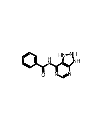 O=C(Nc1ncnc2c1NNN2)c1ccccc1